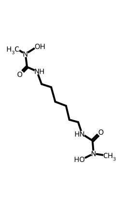 CN(O)C(=O)NCCCCCCNC(=O)N(C)O